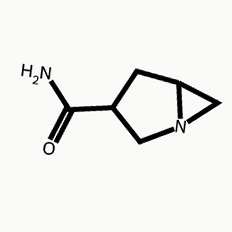 NC(=O)C1CC2CN2C1